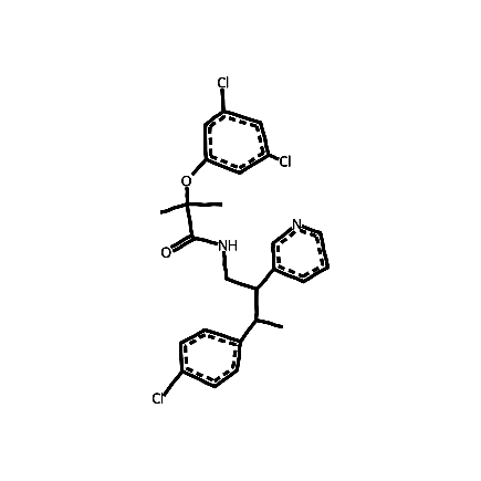 CC(c1ccc(Cl)cc1)C(CNC(=O)C(C)(C)Oc1cc(Cl)cc(Cl)c1)c1cccnc1